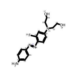 Nc1ccc(/N=N/c2ccc(N(CCO)CCO)cc2F)cc1